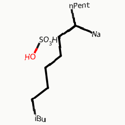 CCCCC[CH]([Na])CCCCCC(C)CC.O=S(=O)(O)O